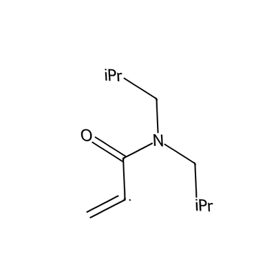 C=[C]C(=O)N(CC(C)C)CC(C)C